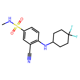 CNS(=O)(=O)c1ccc(NC2CCC(F)(F)CC2)c(C#N)c1